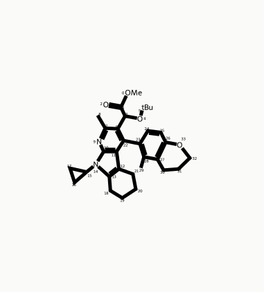 COC(=O)C(OC(C)(C)C)c1c(C)nc2c(c3c(n2C2CC2)CCCC3)c1-c1ccc2c(c1C)CCCO2